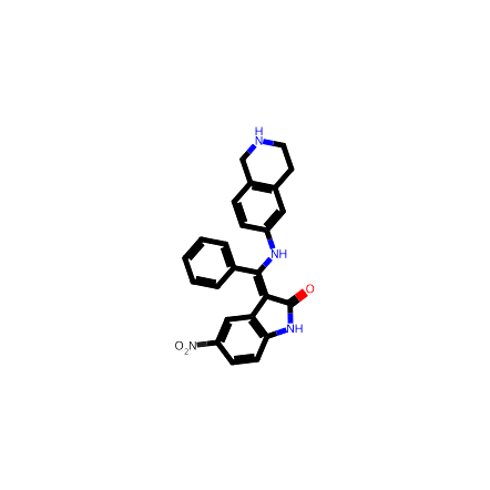 O=C1Nc2ccc([N+](=O)[O-])cc2/C1=C(/Nc1ccc2c(c1)CCNC2)c1ccccc1